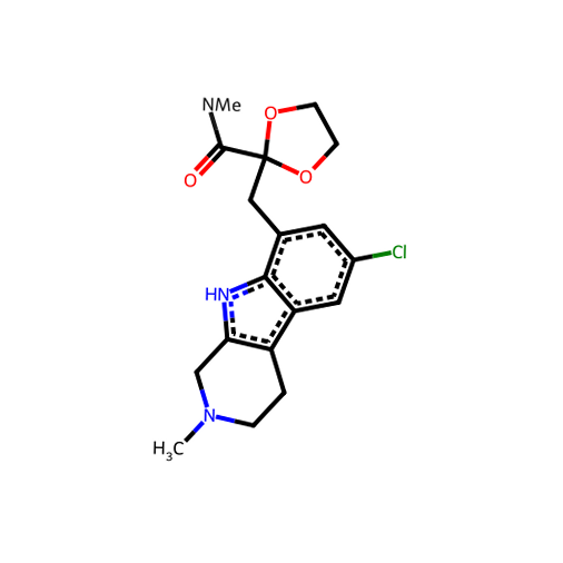 CNC(=O)C1(Cc2cc(Cl)cc3c4c([nH]c23)CN(C)CC4)OCCO1